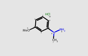 COc1cccc(N(C)N)c1.Cl